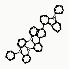 c1ccc(N2c3ccccc3B3c4cccc(-c5ccc(-c6cccc7c6c6ccccc6n7-c6ccccc6)cc5)c4N(c4ccccc4)c4cccc2c43)cc1